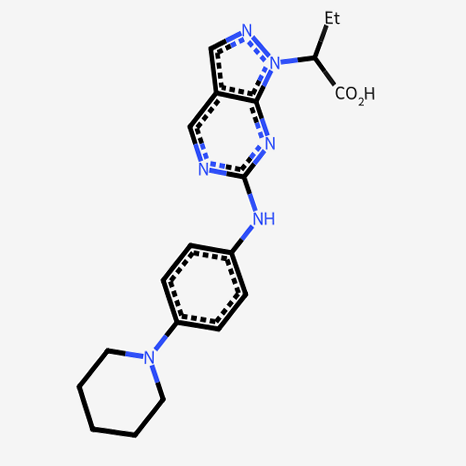 CCC(C(=O)O)n1ncc2cnc(Nc3ccc(N4CCCCC4)cc3)nc21